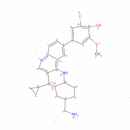 COc1cc(-c2ccc3ncc(C(=O)C4CC4)c(NC4CCC(CN)CC4)c3c2)cc(Cl)c1O